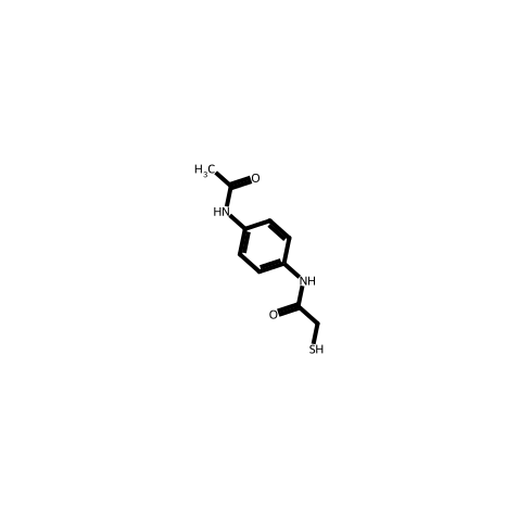 CC(=O)Nc1ccc(NC(=O)CS)cc1